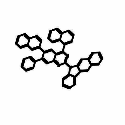 c1ccc(-c2cc3nc(-n4c5ccccc5c5cc6ccccc6cc54)nc(-c4cccc5ccccc45)c3cc2-c2ccc3ccccc3c2)cc1